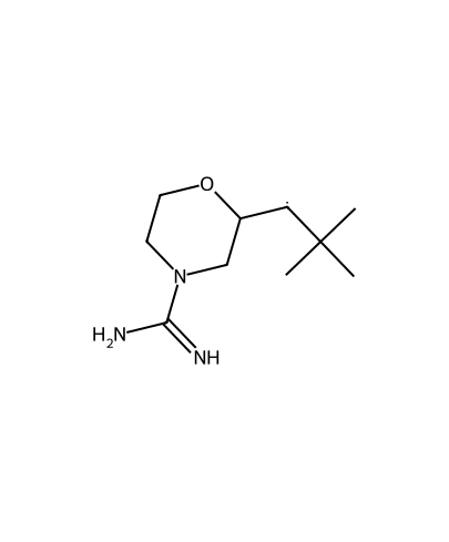 CC(C)(C)[CH]C1CN(C(=N)N)CCO1